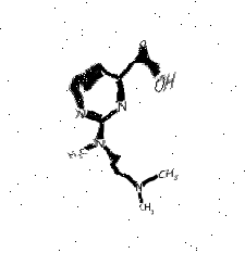 CN(C)CCN(C)c1nccc(C(=O)O)n1